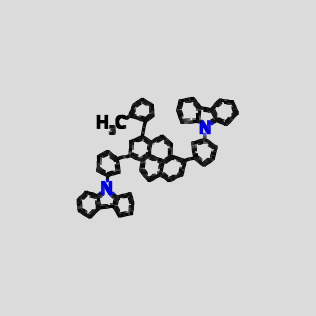 Cc1ccccc1-c1cc(-c2cccc(-n3c4ccccc4c4ccccc43)c2)c2ccc3ccc(-c4cccc(-n5c6ccccc6c6ccccc65)c4)c4ccc1c2c34